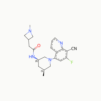 C[C@H]1C[C@@H](NC(=O)CC2CN(C)C2)CN(c2cc(F)c(C#N)c3ncccc23)C1